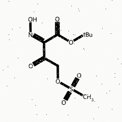 CC(C)(C)OC(=O)/C(=N\O)C(=O)COS(C)(=O)=O